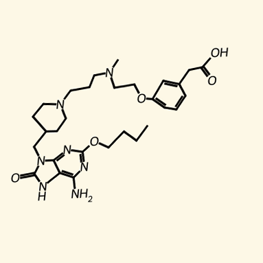 CCCCOc1nc(N)c2[nH]c(=O)n(CC3CCN(CCCN(C)CCOc4cccc(CC(=O)O)c4)CC3)c2n1